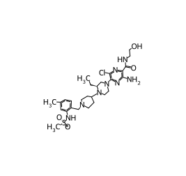 CC[C@H]1CN(c2nc(N)c(C(=O)NCCO)nc2Cl)CCN1C1CCN(Cc2ccc(C)cc2NS(C)(=O)=O)CC1